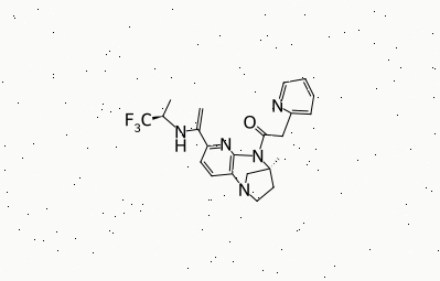 C=C(N[C@H](C)C(F)(F)F)c1ccc2c(n1)N(C(=O)Cc1ccccn1)[C@@]1(C)CCN2C1